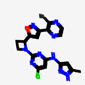 CCc1nccnc1-c1cc(C2CCN2c2nc(Cl)cc(Nc3cc(C)[nH]n3)n2)on1